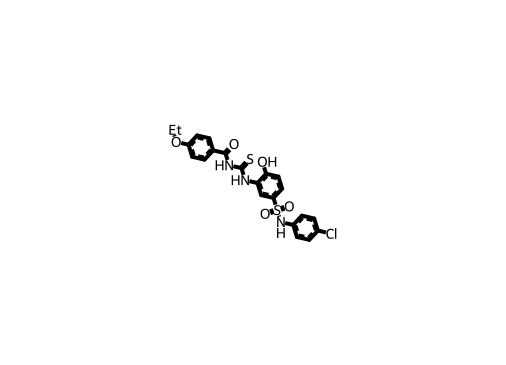 CCOc1ccc(C(=O)NC(=S)Nc2cc(S(=O)(=O)Nc3ccc(Cl)cc3)ccc2O)cc1